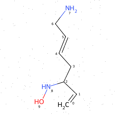 C=CC(C/C=C/CN)NO